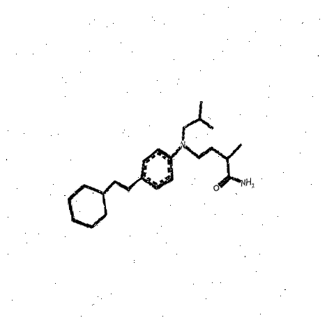 C[C](C)CN(CCC(C)C(N)=O)c1ccc(CCC2CCCCC2)cc1